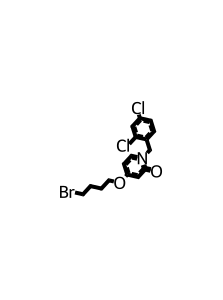 O=c1cc(OCCCCBr)ccn1Cc1ccc(Cl)cc1Cl